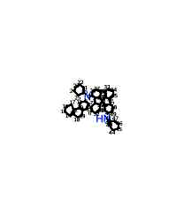 C1=CC2C3C(N(C4C=CC5=C(C4)C4=C(CCCC4)CC5)C4CCCCC4)CC=CC3C3(c4ccccc4C4C=CC(NC5=CCCC=C5)CC43)C2C=C1